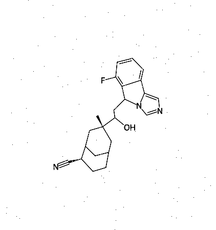 C[C@@]1(C(O)CC2c3c(F)cccc3-c3cncn32)CC2CC[C@@H](C#N)C(C2)C1